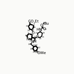 CCOC(=O)c1ccc(Oc2ccnc3c2c(N2CCC[C@@H](NC(=O)OC(C)(C)C)C2)nn3Cc2ccc(OC)cc2)cc1